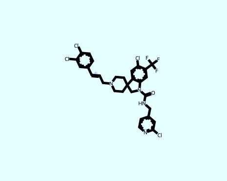 O=C(NCc1ccnc(Cl)c1)N1CC2(CCN(C/C=C/c3ccc(Cl)c(Cl)c3)CC2)c2cc(Cl)c(C(F)(F)F)cc21